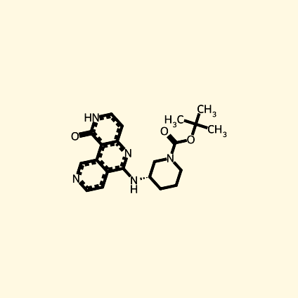 CC(C)(C)OC(=O)N1CCC[C@H](Nc2nc3cc[nH]c(=O)c3c3cnccc23)C1